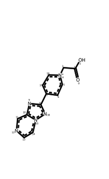 O=C(O)C[n+]1ccc(-c2nc3cnccn3n2)cc1